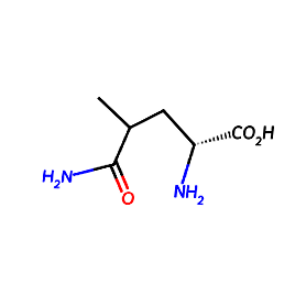 CC(C[C@@H](N)C(=O)O)C(N)=O